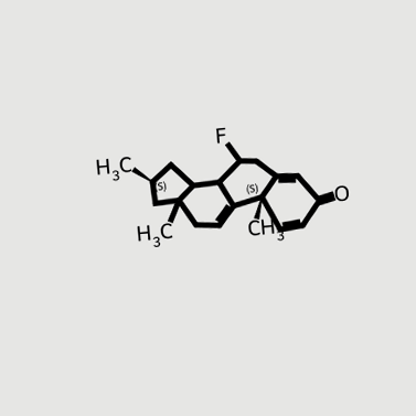 C[C@H]1CC2C3C(=CCC2(C)C1)[C@@]1(C)C=CC(=O)C=C1CC3F